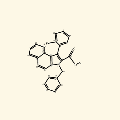 COC(=O)c1c(-c2ccccc2F)c2c3ccccc3ccc2n1Cc1ccccc1